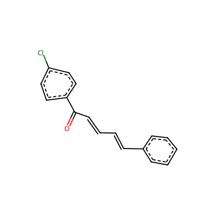 O=C(C=CC=Cc1ccccc1)c1ccc(Cl)cc1